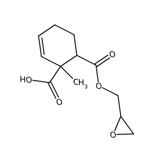 CC1(C(=O)O)C=CCCC1C(=O)OCC1CO1